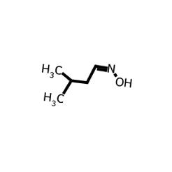 CC(C)C/C=N\O